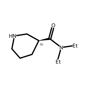 CCN(CC)C(=O)[C@H]1CCCNC1